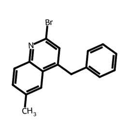 Cc1ccc2nc(Br)cc(Cc3ccccc3)c2c1